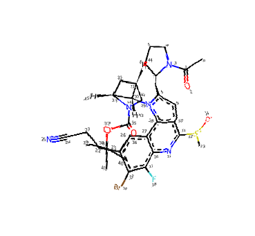 CC(=O)N1CCC[C@@H]1c1cc2c([S+](C)[O-])nc3c(F)c(Br)c(CCC#N)cc3c2n1[C@H]1[C@@H]2C[C@H]1N(C(=O)OC(C)(C)C)C2